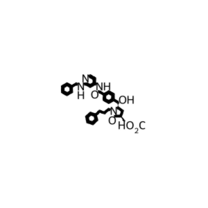 O=C(O)C[C@@H]1C[C@@H](C(O)c2ccc(C(=O)Nc3ccnc(NCc4ccccc4)c3)cc2)N(CCCc2ccccc2)C1=O